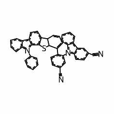 N#Cc1ccc(C2=CC=CC3c4ccc5c6ccccc6n(-c6ccccc6)c5c4SC23)c(-n2c3ccccc3c3cc(C#N)ccc32)c1